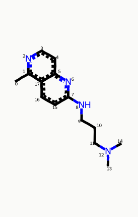 Cc1nccc2nc(NCCCN(C)C)ccc12